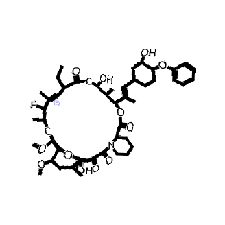 CCC1/C=C(\C)C(F)C(C)CC(OC)C2OC(O)(C(=O)C(=O)N3CCCCC3C(=O)OC(C(C)=CC3CCC(Oc4ccccc4)C(O)C3)C(C)C(O)CC1=O)C(C)CC2OC